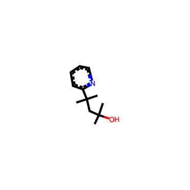 CC(C)(O)CC(C)(C)c1ccccn1